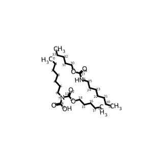 CCCCCCCN(C(=O)O)C(=O)OCCCCC.CCCCCCCNC(=O)OCCCCC